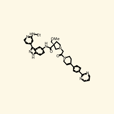 CCNc1cc(-c2n[nH]c3ccc(NC(=O)[C@]4(COC)CCN(CC(=O)N5CC=C(c6ccc(-c7ncccn7)cc6)CC5)C4)cc23)ccn1